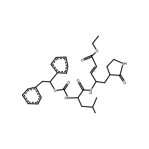 CCOC(=O)/C=C/C(CC1CCNC1=O)NC(=O)C(CC(C)C)NC(=O)OC(Cc1ccccc1)c1ccccc1